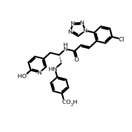 O=C(/C=C/c1cc(Cl)ccc1-n1cnnn1)N[C@H](CNc1ccc(C(=O)O)cc1)Cc1ccc(O)nc1